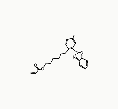 C=CC(=O)OCCCCCCc1ccc(C)cc1-n1nc2ccccc2n1